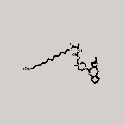 CCCCCCCCCCCCCCCCCCCCCCOC(=O)C(C)NC(=O)OC[N+]1(C)CCN(C2=Nc3ccccc3Nc3sc(C)cc32)CC1.[I-]